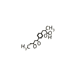 CCC(=O)CC(=O)c1ccc(CC(C)C(=O)O)cc1